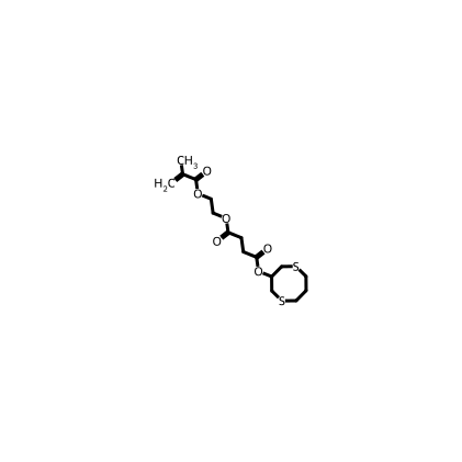 C=C(C)C(=O)OCCOC(=O)CCC(=O)OC1CSCCCSC1